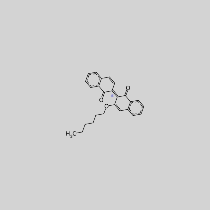 CCCCCCOC1=Cc2ccccc2C(=O)/C1=C1\C=Cc2ccccc2C1=O